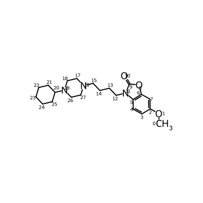 COc1ccc2c(c1)oc(=O)n2CCCCN1CCN(C2CCCCC2)CC1